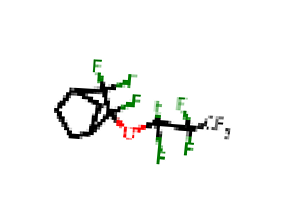 FC(F)(F)C(F)(F)C(F)(F)OC1(F)C2CCC(C2)C1(F)F